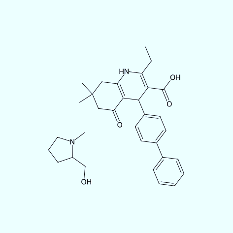 CCC1=C(C(=O)O)C(c2ccc(-c3ccccc3)cc2)C2=C(CC(C)(C)CC2=O)N1.CN1CCCC1CO